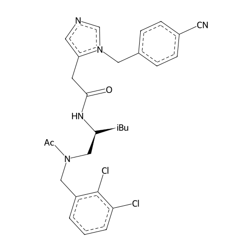 CC[C@H](C)[C@@H](CN(Cc1cccc(Cl)c1Cl)C(C)=O)NC(=O)Cc1cncn1Cc1ccc(C#N)cc1